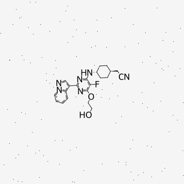 N#CC[C@H]1CC[C@H](Nc2nc(-c3cnn4ccccc34)nc(OCCO)c2F)CC1